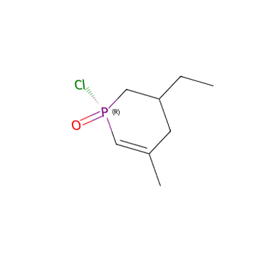 CCC1CC(C)=C[P@](=O)(Cl)C1